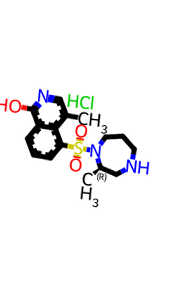 Cc1cnc(O)c2cccc(S(=O)(=O)N3CCCNC[C@H]3C)c12.Cl